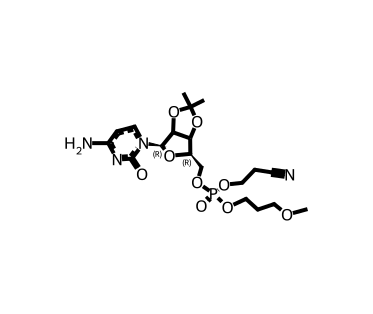 COCCCOP(=O)(OCCC#N)OC[C@H]1O[C@@H](n2ccc(N)nc2=O)C2OC(C)(C)OC21